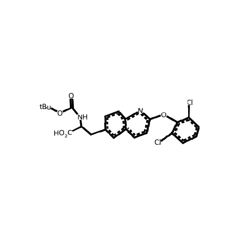 CC(C)(C)OC(=O)NC(Cc1ccc2nc(Oc3c(Cl)cccc3Cl)ccc2c1)C(=O)O